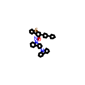 c1ccc(-c2ccc(-c3cc4sc5ccccc5c4c4nc(-n5c6ccccc6c6cc(-n7c8ccccc8c8ccccc87)ccc65)oc34)cc2)cc1